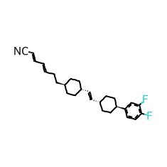 N#CC=CC=CCC[C@H]1CC[C@H](/C=C/[C@H]2CC[C@H](c3ccc(F)c(F)c3)CC2)CC1